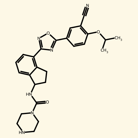 CC(C)Oc1ccc(-c2nc(-c3cccc4c3CCC4NC(=O)N3CCNCC3)no2)cc1C#N